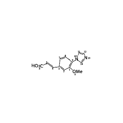 COc1cc(C=CC(=O)O)ccc1-n1ccnc1